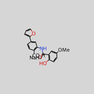 COc1ccc(O)c(C(=O)Nc2cc(-c3ccco3)ccc2C(=O)O)c1.[NaH]